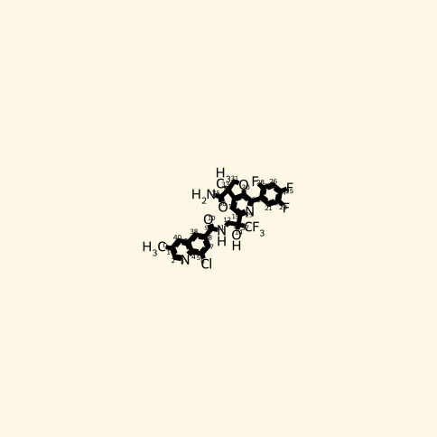 Cc1cnc2c(Cl)cc(C(=O)NCC(O)(c3cc4c(c(-c5cc(F)c(F)cc5F)n3)OC[C@]4(C)C(N)=O)C(F)(F)F)cc2c1